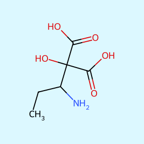 CCC(N)C(O)(C(=O)O)C(=O)O